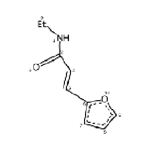 CCNC(=O)/C=C/c1ccco1